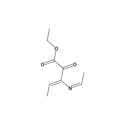 C/C=N\C(=C/C)C(=O)C(=O)OCC